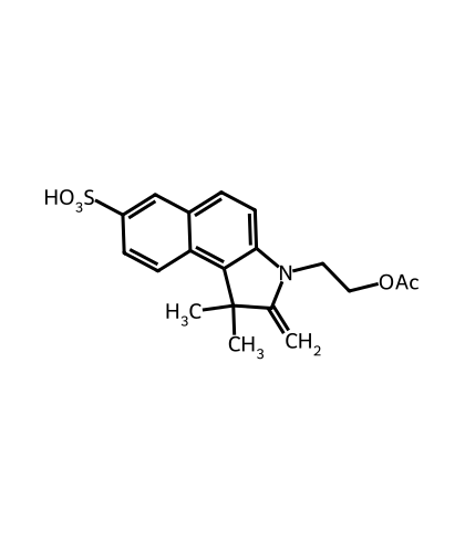 C=C1N(CCOC(C)=O)c2ccc3cc(S(=O)(=O)O)ccc3c2C1(C)C